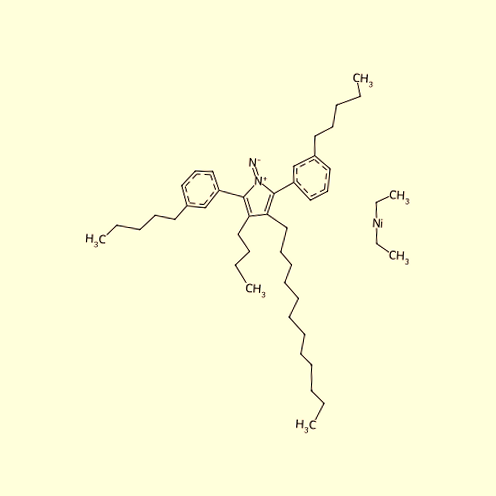 CCCCCCCCCCCCC1=C(c2cccc(CCCCC)c2)[N+](=[N-])C(c2cccc(CCCCC)c2)=C1CCCC.C[CH2][Ni][CH2]C